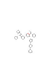 c1ccc(-c2ccc(-c3ccc(N(c4cccc(-c5cccc6c5oc5c7ccccc7n(-c7ccccc7)c65)c4)c4ccccc4-c4ccccc4)cc3)cc2)cc1